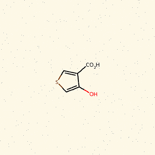 O=C(O)c1cscc1O